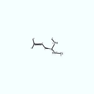 CCN[C@@H](CC=C(C)C)PC